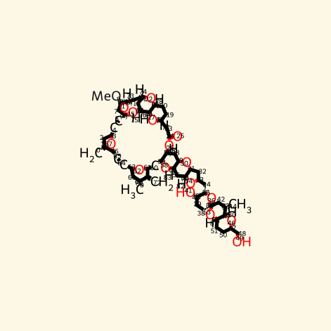 C=C1CC2CC[C@]34C[C@@H](OC)[C@H](O3)[C@H]3C[C@@H](O4)[C@H]4O[C@H](CC[C@@H]4O3)CC(=O)O[C@@H]3CC4OC5CC(C[C@@H]6O[C@@]7(CC[C@@H]6O)C[C@H](C)[C@@H]6OC(CO)CC[C@@H]6O7)O[C@@H]5C[C@@H]4OC3CC3OC(CCC1O2)C[C@@H](C)C3=C